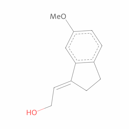 COc1ccc2c(c1)/C(=C/CO)CC2